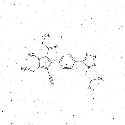 CCc1c(C#N)c(-c2ccc(-c3nnnn3CC(C)C)cc2)c(C(=O)OC)n1C